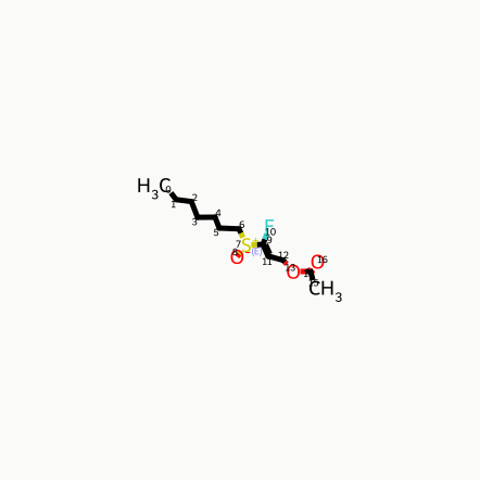 CCCCCCC[S+]([O-])/C(F)=C/COC(C)=O